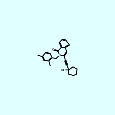 Cc1ccc(Cn2c(C#CC3(O)CCCCC3)cc3ccccc3c2=O)c(C)c1